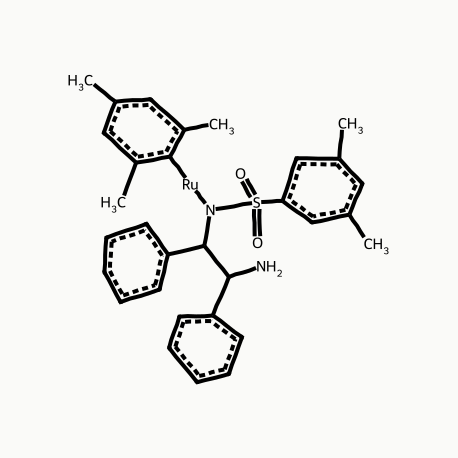 Cc1cc(C)cc(S(=O)(=O)[N]([Ru][c]2c(C)cc(C)cc2C)C(c2ccccc2)C(N)c2ccccc2)c1